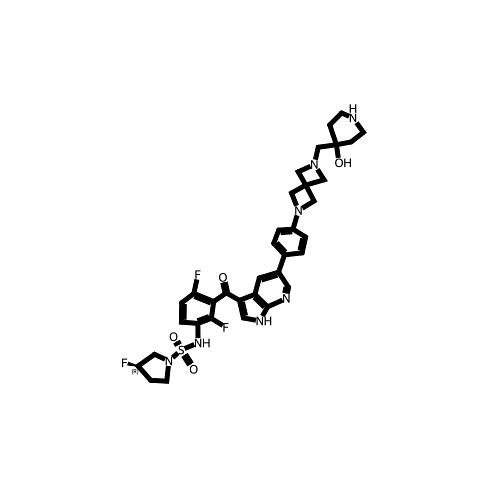 O=C(c1c(F)ccc(NS(=O)(=O)N2CC[C@@H](F)C2)c1F)c1c[nH]c2ncc(-c3ccc(N4CC5(CN(CC6(O)CCNCC6)C5)C4)cc3)cc12